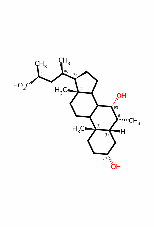 C[C@H]1[C@@H](O)C2C3CC[C@H]([C@H](C)C[C@H](C)C(=O)O)[C@@]3(C)CCC2[C@@]2(C)CC[C@@H](O)C[C@@H]12